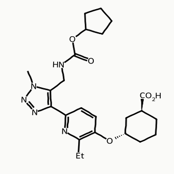 CCc1nc(-c2nnn(C)c2CNC(=O)OC2CCCC2)ccc1O[C@H]1CCC[C@H](C(=O)O)C1